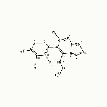 Fc1ccc(-c2c(Cl)nc3ncnn3c2NCC(F)(F)F)c(F)c1F